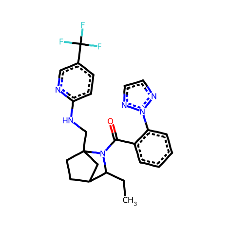 CCC1C2CCC(CNc3ccc(C(F)(F)F)cn3)(C2)N1C(=O)c1ccccc1-n1nccn1